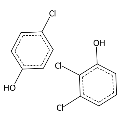 Oc1ccc(Cl)cc1.Oc1cccc(Cl)c1Cl